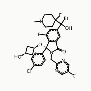 CCC(O)(c1cc(F)c2c(c1)C(=O)N(Cc1ncc(Cl)cn1)[C@@]2(O[C@H]1C[C@@H](O)C1)c1ccc(Cl)cc1)C1(F)CCN(C)CC1